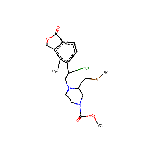 CC(=O)SCC1CN(C(=O)OC(C)(C)C)CCN1CC(Cl)c1ccc2c(c1C)COC2=O